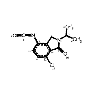 CC(C)N1Cc2c(N=C=O)ccc(Cl)c2C1=O